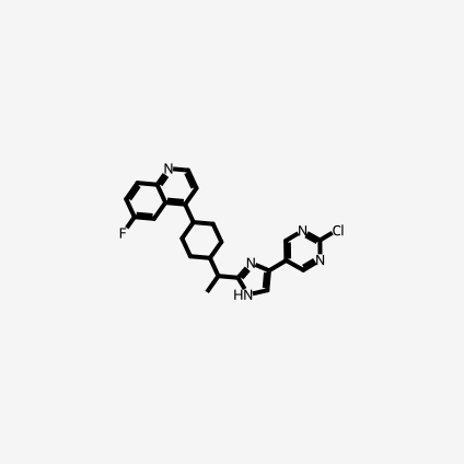 CC(c1nc(-c2cnc(Cl)nc2)c[nH]1)C1CCC(c2ccnc3ccc(F)cc23)CC1